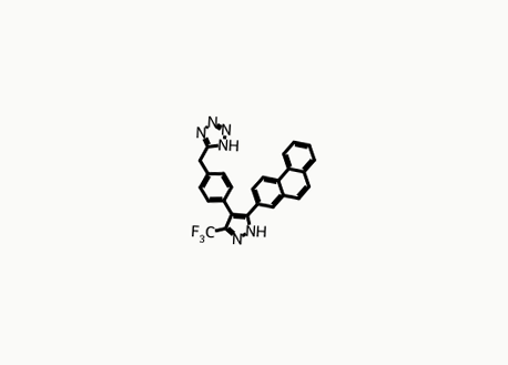 FC(F)(F)c1n[nH]c(-c2ccc3c(ccc4ccccc43)c2)c1-c1ccc(Cc2nnn[nH]2)cc1